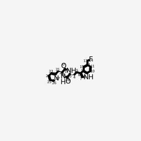 O=C1N[C@H](CCc2c[nH]c3ccc(CF)cc23)C(=O)N[C@H]1Cc1ccccn1